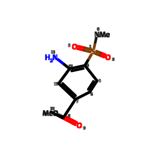 CNS(=O)(=O)c1ccc(C(=O)OC)cc1N